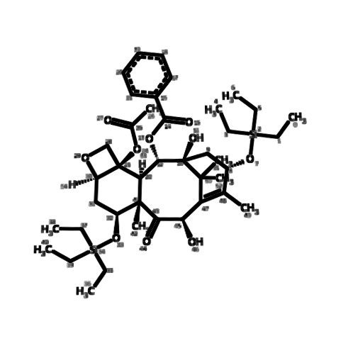 CC[Si](CC)(CC)O[C@H]1C[C@@]2(O)[C@@H](OC(=O)c3ccccc3)[C@@H]3[C@@]4(OC(C)=O)CO[C@@H]4C[C@H](O[Si](CC)(CC)CC)[C@@]3(C)C(=O)[C@H](O)C(=C1C)C2(C)C